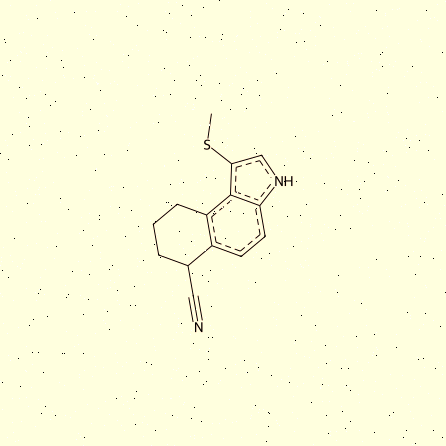 CSc1c[nH]c2ccc3c(c12)CCCC3C#N